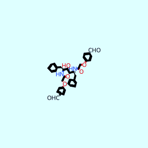 O=Cc1ccc(OCC(=O)N[C@@H](Cc2ccccc2)C[C@H](O)[C@H](Cc2ccccc2)NC(=O)COc2ccc(C=O)cc2)cc1